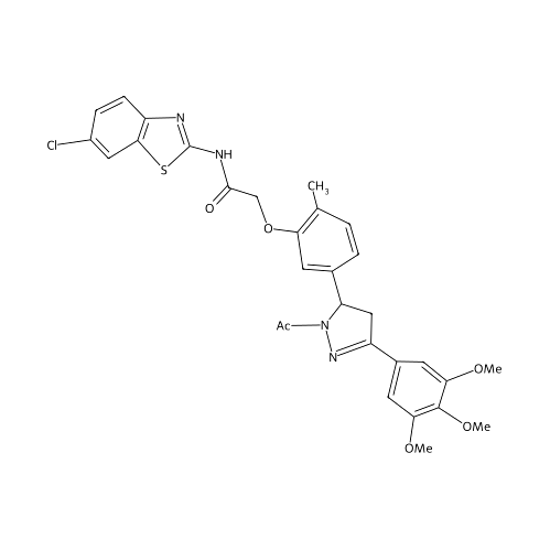 COc1cc(C2=NN(C(C)=O)C(c3ccc(C)c(OCC(=O)Nc4nc5ccc(Cl)cc5s4)c3)C2)cc(OC)c1OC